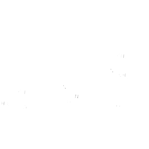 CCN(C)[C@H]1c2cccc(-c3noc(-c4ccc(OC(C)C)cc4)n3)c2C[C@H]1CC=O